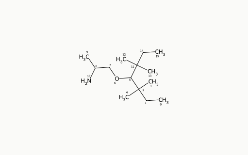 CCC(C)(C)C(OCC(C)N)C(C)(C)CC